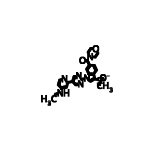 CCNc1ccnc(-c2cnc(-n3cc([S+](C)[O-])c4ccc(C(=O)N5CCOCC5)cc43)nc2)c1